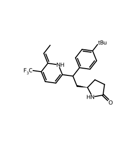 C/C=C1\NC(C(C[C@H]2CCC(=O)N2)c2ccc(C(C)(C)C)cc2)=CC=C1C(F)(F)F